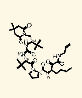 C=CCNC(=O)C(=O)C(CCCC)NC(=O)[C@@H]1CCCN1C(=O)[C@@H](NC(=O)N[C@H](CN1C(=O)CC(C)(C)CC1=O)C(C)(C)C)C(C)(C)C